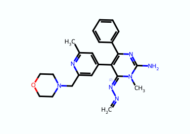 C=N/N=c1/c(-c2cc(C)nc(CN3CCOCC3)c2)c(-c2ccccc2)nc(N)n1C